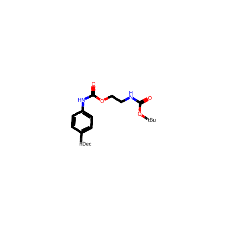 CCCCCCCCCCc1ccc(NC(=O)OCCNC(=O)OC(C)(C)C)cc1